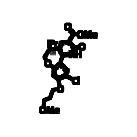 COCCCOc1cc2c(cc1Cl)-c1[nH]c(=O)c(C(=O)OC)cc1[C@H](C(C)C)CO2